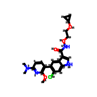 COc1nc(N(C)C)ccc1-c1cc2c(C(=O)NOCCOC3CC3)c[nH]c2cc1Cl